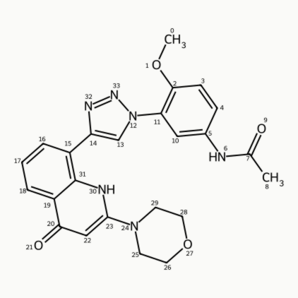 COc1ccc(NC(C)=O)cc1-n1cc(-c2cccc3c(=O)cc(N4CCOCC4)[nH]c23)nn1